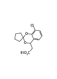 CCOC(=O)CC1OC2(CCCC2)Oc2c(Cl)cccc21